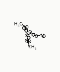 CCCCS(=O)(=O)c1ccc(-c2sc3cc(S(=O)(=O)CCCC)ccc3c2C(=O)c2ccc(OCCCN3CCCCC3)cc2)cc1